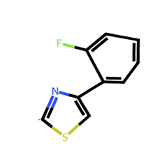 Fc1ccccc1-c1cs[c]n1